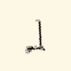 CCOP(=O)(CCCNCc1c[nH]c2c(=O)[nH]c(O)nc12)OCCCCCCCCCCCCCCCCCCCO